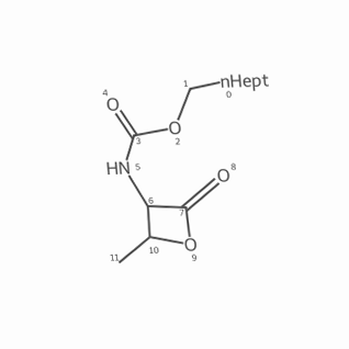 CCCCCCCCOC(=O)NC1C(=O)OC1C